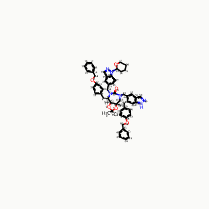 CC1(C)O[C@@H]2[C@@H](O1)[C@@H](Cc1ccc(OCc3ccccc3)cc1)N(Cc1ccc3c(cnn3C3CCCCO3)c1)C(=O)N(Cc1ccc3[nH]ncc3c1)[C@@H]2Cc1ccc(OCc2ccccc2)cc1